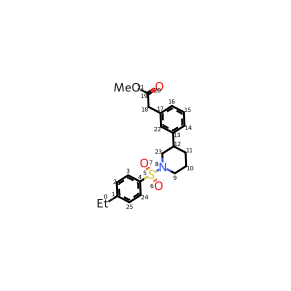 CCc1ccc(S(=O)(=O)N2CCCC(c3cccc(CC(=O)OC)c3)C2)cc1